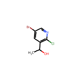 CC(O)c1cc(Br)cnc1Cl